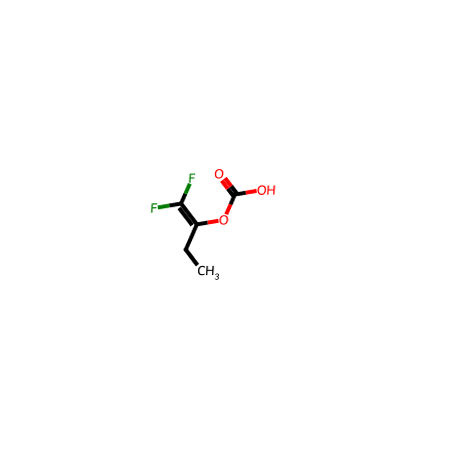 CCC(OC(=O)O)=C(F)F